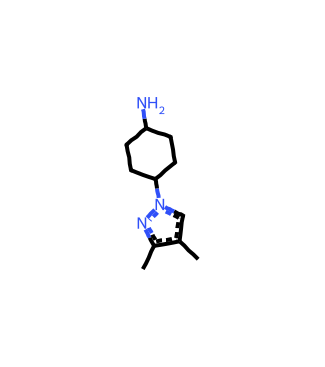 Cc1cn(C2CCC(N)CC2)nc1C